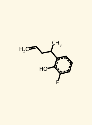 C=CCC(C)c1cccc(F)c1O